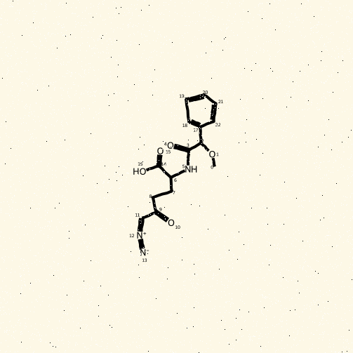 COC(C(=O)NC(CCC(=O)C=[N+]=[N-])C(=O)O)c1ccccc1